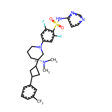 CN(C)[C@]1(C2CC(c3cccc(C(F)(F)F)c3)C2)CCCN(c2cc(F)c(S(=O)(=O)Nc3ccncn3)c(F)c2)C1